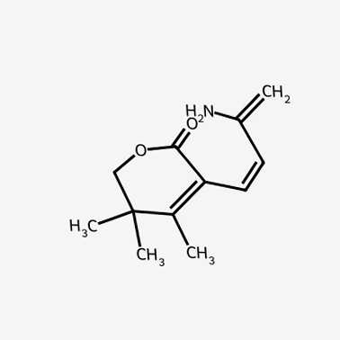 C=C(N)/C=C\C1=C(C)C(C)(C)COC1=O